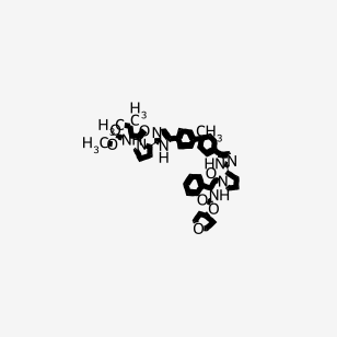 COC(=O)N[C@H](C(=O)N1CCC[C@H]1c1ncc(-c2ccc(C3(C)CC=C(c4cnc([C@@H]5CCCN5C(=O)[C@H](NC(=O)OC5CCOCC5)c5ccccc5)[nH]4)CC3)cc2)[nH]1)C(C)C